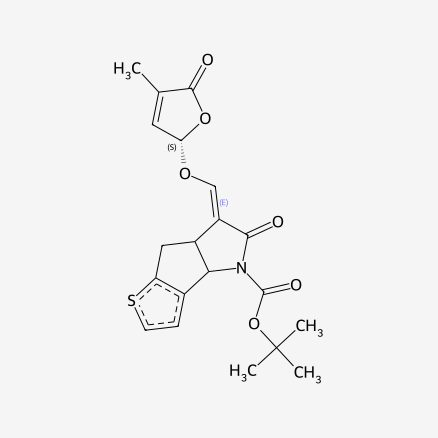 CC1=C[C@@H](O/C=C2/C(=O)N(C(=O)OC(C)(C)C)C3c4ccsc4CC23)OC1=O